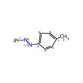 Cc1ccc(/N=N/C(C)C)cc1